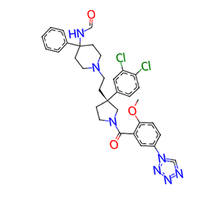 COc1ccc(-n2cnnn2)cc1C(=O)N1CC[C@](CCN2CCC(NC=O)(c3ccccc3)CC2)(c2ccc(Cl)c(Cl)c2)C1